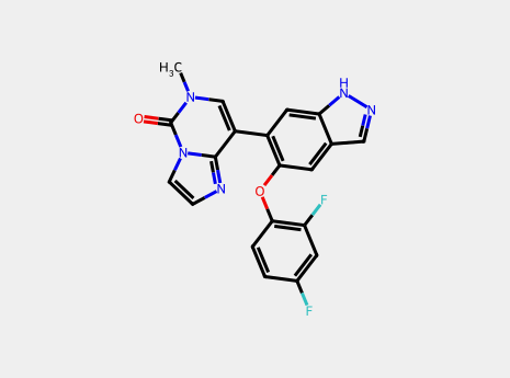 Cn1cc(-c2cc3[nH]ncc3cc2Oc2ccc(F)cc2F)c2nccn2c1=O